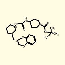 CC(C)(C)OC(=O)N1CCC(NC(=O)N[C@H]2CCCN(C[C@H]3COc4ccccc4O3)C2)CC1